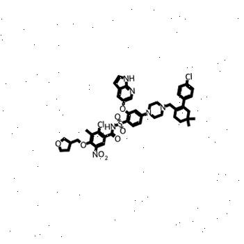 Cc1c(Cl)c(C(=O)NS(=O)(=O)c2ccc(N3CCN(CC4=C(c5ccc(Cl)cc5)CC(C)(C)CC4)CC3)cc2Oc2cnc3[nH]ccc3c2)cc([N+](=O)[O-])c1OCC1CCOC1